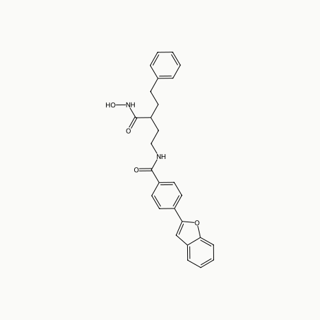 O=C(NCCC(CCc1ccccc1)C(=O)NO)c1ccc(-c2cc3ccccc3o2)cc1